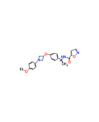 CCOc1ccc(N2CC(Oc3ccc([C@H](C)NC(=O)c4ccno4)cc3)C2)cc1